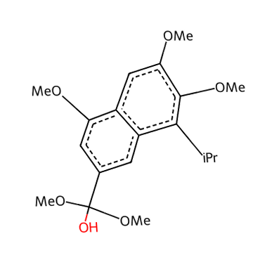 COc1cc2c(OC)cc(C(O)(OC)OC)cc2c(C(C)C)c1OC